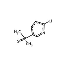 CP(C)(=S)c1ccc(Cl)nc1